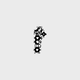 Fc1c(N(C2CCC2)[N+]23C=CN=CC2=CN=C3)ccc2ccc(Oc3ccccc3)nc12